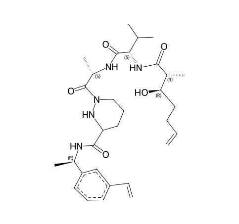 C=CCC[C@@H](O)[C@@H](C)C(=O)N[C@H](C(=O)N[C@@H](C)C(=O)N1CCCC(C(=O)N[C@H](C)c2cccc(C=C)c2)N1)C(C)C